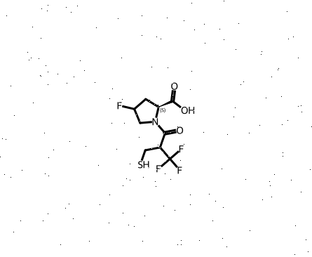 O=C(O)[C@@H]1CC(F)CN1C(=O)C(CS)C(F)(F)F